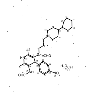 CCC1=C(N(C=O)CCCN2CCC(C3CCCCC3)CC2)C(c2ccc([N+](=O)[O-])cc2)C(NC=O)=C(C)N1.Cl.O